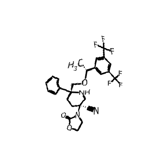 C[C@@H](OC[C@]1(c2ccccc2)CC[C@](C#N)(N2CCOC2=O)CN1)c1cc(C(F)(F)F)cc(C(F)(F)F)c1